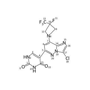 O=c1[nH]cc(-c2cc(N3CC(F)(C(F)(F)F)C3)c3ncc(Cl)n3n2)c(=O)[nH]1